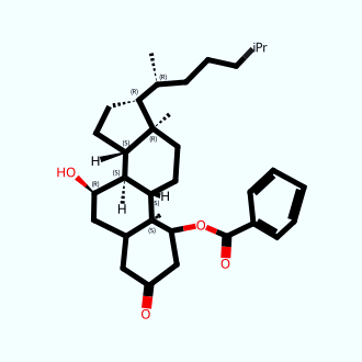 CC(C)CCC[C@@H](C)[C@H]1CC[C@H]2[C@@H]3[C@H](O)CC4CC(=O)CC(OC(=O)c5ccccc5)[C@]4(C)[C@H]3CC[C@]12C